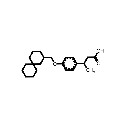 CC(CC(=O)O)c1ccc(OCC2CCCC3(CCCCC3)C2)cc1